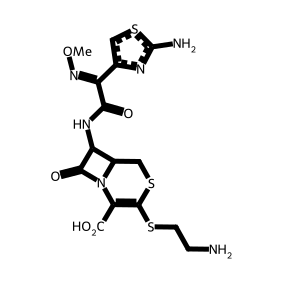 CON=C(C(=O)NC1C(=O)N2C(C(=O)O)=C(SCCN)SCC12)c1csc(N)n1